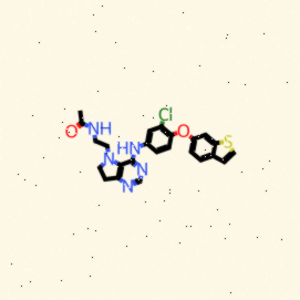 CC(=O)NCCN1CCc2ncnc(Nc3ccc(Oc4ccc5ccsc5c4)c(Cl)c3)c21